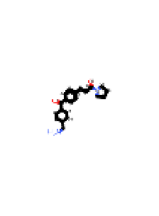 NCC1CCC(C(=O)c2ccc(CCC(=O)N3CCCC3)cc2)CC1